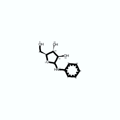 OC[C@@H]1OC(Nc2ccccc2)[C@H](O)[C@H]1O